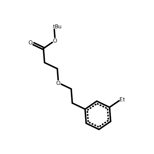 CCc1cccc(CCOCCC(=O)OC(C)(C)C)c1